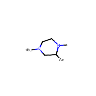 CC(=O)C1CN(C(C)(C)C)CCN1C